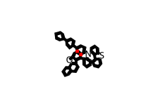 c1ccc(-c2ccc(-c3ccc(N(c4ccccc4-c4cccc5oc6c7ccccc7ccc6c45)c4cccc5sc6ccccc6c45)cc3)cc2)cc1